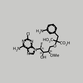 CO[C@H](COC(Cc1cccc(N)c1)(C(=O)O)C(=O)O)[C@@H](O)[C@H](F)n1cnc2c(N)nc(Cl)nc21